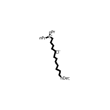 CCCCCCCCCCCCCCCCCCCCCC[S+](CCC)CCC.[Cl-]